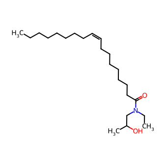 CCCCCCCC/C=C\CCCCCCCC(=O)N(CC)CC(C)O